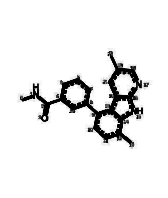 CNC(=O)c1cccc(-c2ccc(C)c3[nH]c4ncc(C)cc4c23)c1